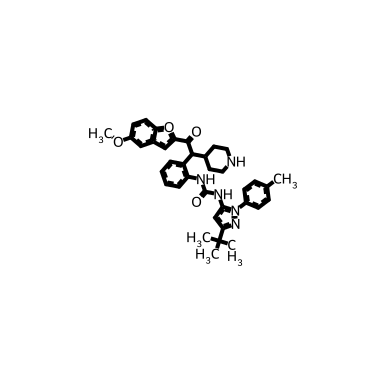 COc1ccc2oc(C(=O)C(c3ccccc3NC(=O)Nc3cc(C(C)(C)C)nn3-c3ccc(C)cc3)C3CCNCC3)cc2c1